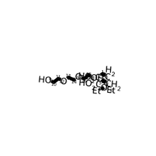 C=CC(=O)O.C=CC(=O)O.CCOCC.OCCOCCOCCO